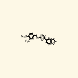 CSc1ccc(CSc2nnc(-c3ccc4c(c3)CCO4)o2)cc1C(F)(F)F